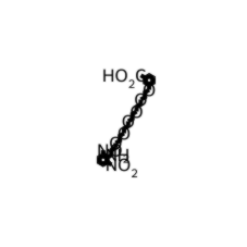 O=C(O)c1cccc(OCCOCCOCCOCCOCCOCCNc2c([N+](=O)[O-])cccc2[N+](=O)[O-])c1